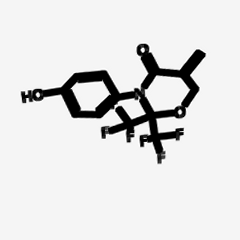 C=C1COC(C(F)(F)F)(C(F)(F)F)N(c2ccc(O)cc2)C1=O